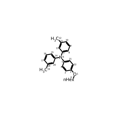 CCCCCCOc1ccc(N(c2cccc(C)c2)c2cccc(C)c2)cc1